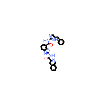 O=C(Nc1nc2c(C(=O)Nc3ncc(Cc4ccccc4)[nH]3)cccc2[nH]1)c1cc2ccccc2cn1